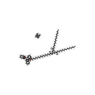 CCCCCCCCCCCCCCCC(=O)OCC(COC(=O)CCCCCCCCCCCCCCC)OC(=O)CCCCCCCCCCCCCCCC(=O)OC(C(=O)OC1CC2CCC(C1)[N+]21CCCC1)(c1ccccc1)c1ccccc1.O=S(=O)([O-])C(F)(F)F